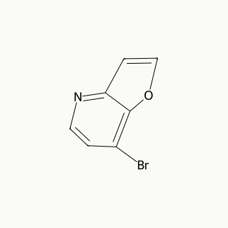 Brc1ccnc2ccoc12